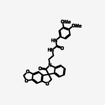 COc1ccc(NC(=O)NCCN2C(=O)C3(COc4cc5c(cc43)OCO5)c3ccccc32)cc1OC